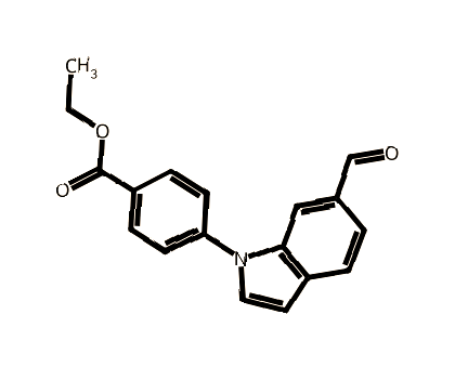 CCOC(=O)c1ccc(-n2ccc3ccc(C=O)cc32)cc1